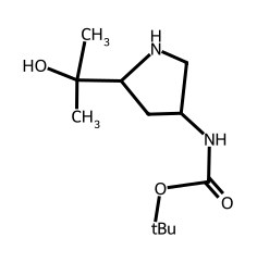 CC(C)(C)OC(=O)NC1CNC(C(C)(C)O)C1